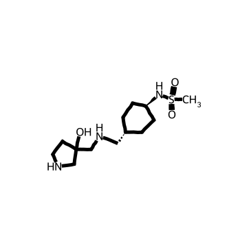 CS(=O)(=O)N[C@H]1CC[C@H](CNCC2(O)CCNC2)CC1